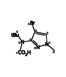 Cn1cc(Br)c(N(C(=O)O)C(C)(C)C)n1